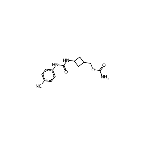 N#Cc1ccc(NC(=O)NC2CC(COC(N)=O)C2)cc1